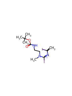 C=C(I)/N=C(/I)N(C)CCNC(=O)OC(C)(C)C